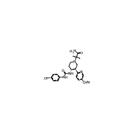 COc1ccc([C@@H]2CN(C(C)(C)C(N)=O)CC[C@H]2NC(=O)Nc2ccc(Cl)cc2)nc1